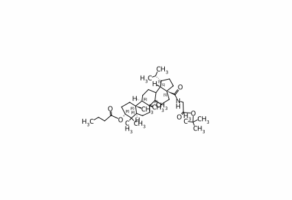 CCCC(=O)O[C@@H]1CC[C@]2(C)[C@H]3CCC4[C@@H]5[C@H](C(C)C)CC[C@]5(C(=O)NCC(=O)OC(C)(C)C)CC[C@@]4(C)[C@]3(C)CC[C@H]2C1(C)C